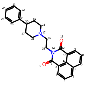 O=C1c2cccc3cccc(c23)C(=O)N1CCN1CCC(c2ccccc2)CC1